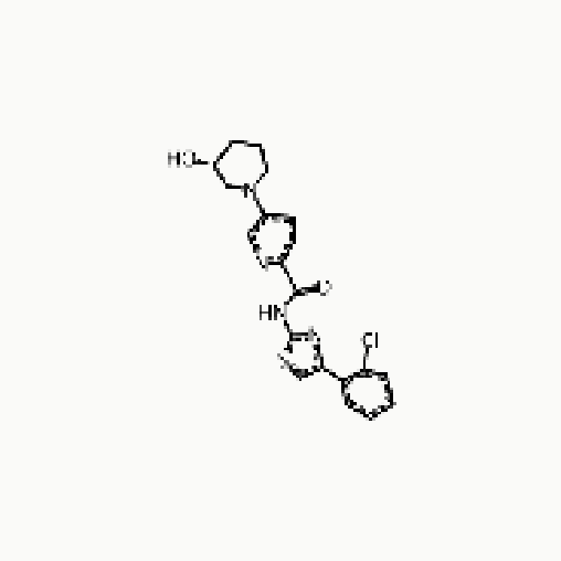 O=C(Nc1nc(-c2ccccc2Cl)cs1)c1ccc(N2CCC[C@H](O)C2)cn1